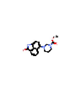 CC(C)(C)OC(=O)N1CCCN(c2ccc3c4c(cccc24)C(=O)N3)C1